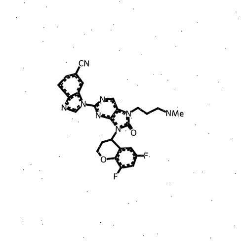 CNCCCn1c(=O)n(C2CCOc3c(F)cc(F)cc32)c2nc(-n3cnc4ccc(C#N)cc43)ncc21